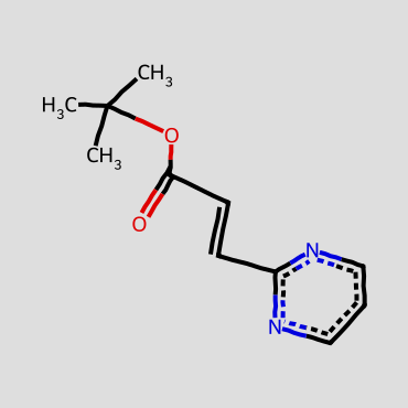 CC(C)(C)OC(=O)C=Cc1ncccn1